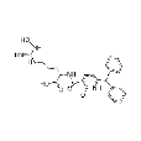 N=C(NO)NCCC[C@H](NC(=O)c1ccc(C(c2ccccc2)c2ccccc2)[nH]c1=O)C(=O)O